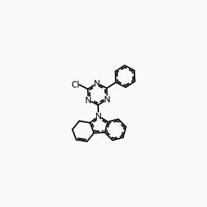 Clc1nc(-c2ccccc2)nc(-n2c3c(c4ccccc42)C=CCC3)n1